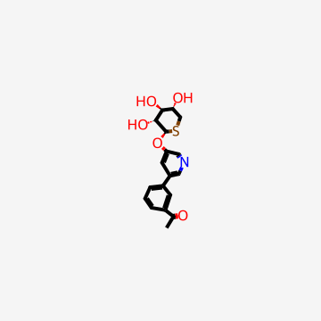 CC(=O)c1cccc(-c2cncc(O[C@@H]3SC[C@@H](O)[C@H](O)[C@H]3O)c2)c1